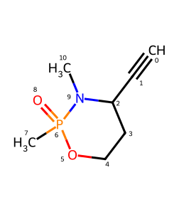 C#CC1CCOP(C)(=O)N1C